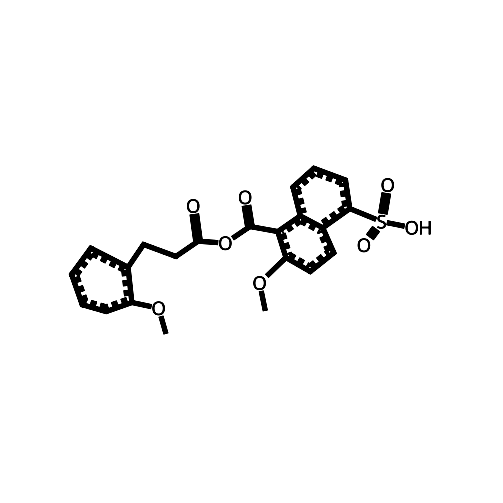 COc1ccccc1CCC(=O)OC(=O)c1c(OC)ccc2c(S(=O)(=O)O)cccc12